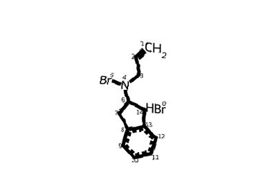 Br.C=CCN(Br)C1Cc2ccccc2C1